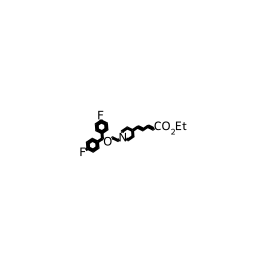 CCOC(=O)C=CC=CC1CCN(CCOC(c2ccc(F)cc2)c2ccc(F)cc2)CC1